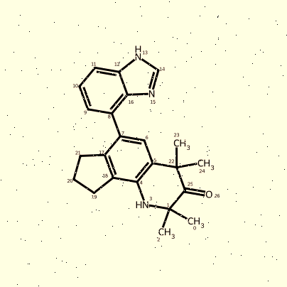 CC1(C)Nc2c(cc(-c3cccc4[nH]cnc34)c3c2CCC3)C(C)(C)C1=O